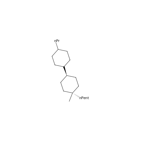 CCCCC[C@]1(C)CC[C@@H](C2CCC(CCC)CC2)CC1